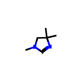 CN1[C]=NC(C)(C)C1